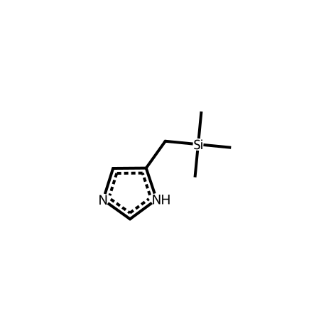 C[Si](C)(C)Cc1cnc[nH]1